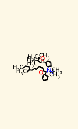 C=C/C=C\C(=C/C)C/C=C/C=C\c1oc2ccccc2c1N(c1cccc(B2CC(C)(C)C(C)(C)O2)c1)N(C)C